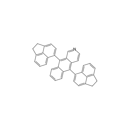 c1ccc2c(-c3ccc4c5c(cccc35)CC4)c3cnccc3c(-c3ccc4c5c(cccc35)CC4)c2c1